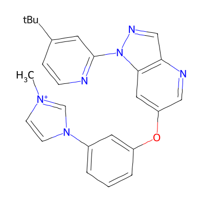 C[n+]1ccn(-c2cccc(Oc3cnc4cnn(-c5cc(C(C)(C)C)ccn5)c4c3)c2)c1